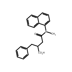 CN(C(=O)CC(Cc1ccccc1)C(=O)O)c1cccc2ccccc12